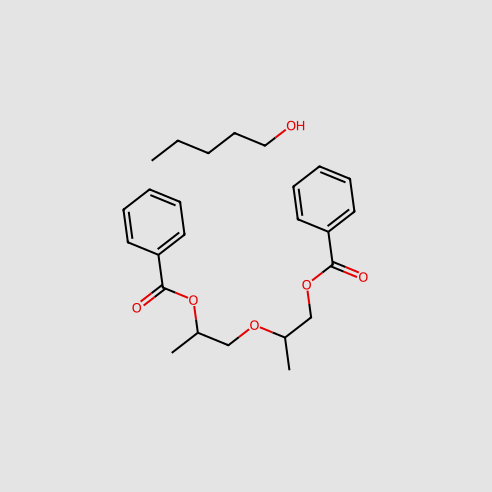 CC(COC(=O)c1ccccc1)OCC(C)OC(=O)c1ccccc1.CCCCCO